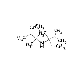 CCC(C)(NC(C)(CC)C(C)C)C(C)C